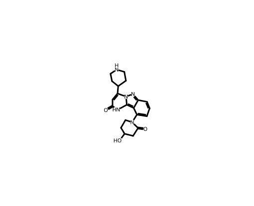 O=C1CC(O)CCN1c1cccc2nn3c(C4CCNCC4)cc(=O)[nH]c3c12